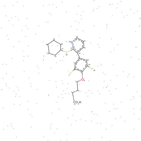 O=C(O)CCCOc1c(F)cc(-c2cccnc2SC2CCCCC2)cc1F